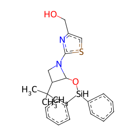 CC(C)(C)C1CN(c2nc(CO)cs2)C1O[SiH](c1ccccc1)c1ccccc1